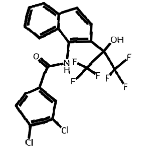 O=C(Nc1c(C(O)(C(F)(F)F)C(F)(F)F)ccc2ccccc12)c1ccc(Cl)c(Cl)c1